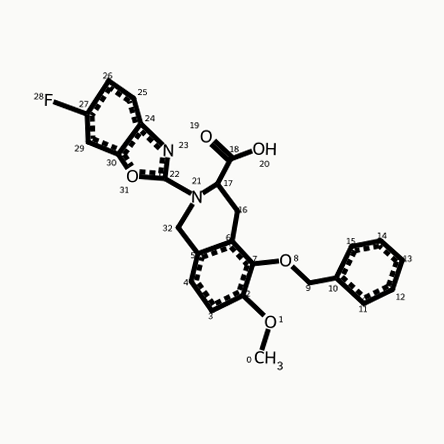 COc1ccc2c(c1OCc1ccccc1)CC(C(=O)O)N(c1nc3ccc(F)cc3o1)C2